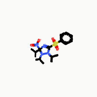 CC(C)N1C(S(=O)(=O)c2ccccc2)=NC(C(C)C)([N+](=O)[O-])N1C(C)C